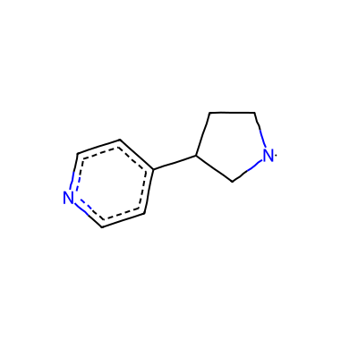 c1cc(C2CC[N]C2)ccn1